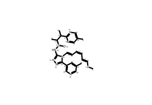 CO/C=C/C=C\C=C\n1c(N[S+]([O-])C(C)C(C)c2ncc(C)cn2)nnc1-c1cncc(C)c1